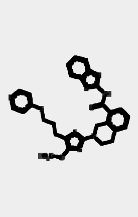 O=C(O)Oc1nc(N2CCc3cccc(C(=O)Nc4nc5ccccc5s4)c3C2)sc1CCCSc1ccncc1